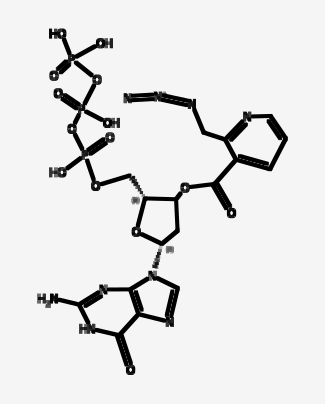 [N-]=[N+]=NCc1ncccc1C(=O)OC1C[C@H](n2cnc3c(=O)[nH]c(N)nc32)O[C@@H]1COP(=O)(O)OP(=O)(O)OP(=O)(O)O